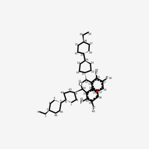 CC[C@H]1CC[C@H]([C@H]2CC[C@H](C(OC(c3cccc(F)c3F)[C@H]3CC[C@H]([C@H]4CC[C@H](CC)CC4)CC3)c3cccc(F)c3F)CC2)CC1